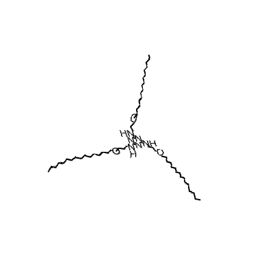 CCCCCCCCCCCCCCCCOCCCNc1nc(NCCCOCCCCCCCCCCCCCCCC)nc(NCCCOCCCCCCCCCCCCCCCC)n1